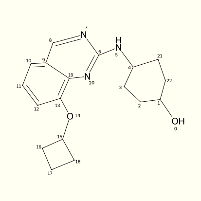 OC1CCC(Nc2ncc3cccc(OC4CCC4)c3n2)CC1